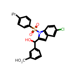 CC(C)c1ccc(S(=O)(=O)n2c(C(O)c3cccc(C(=O)O)c3)cc3cc(Cl)ccc32)cc1